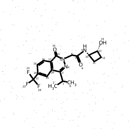 CC(C)c1nn(CC(=O)N[C@H]2CC[C@H]2O)c(=O)c2ccc(C(F)(F)F)cc12